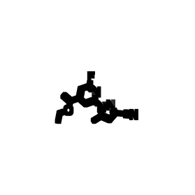 C=C(OCC)c1cc(F)nc(-n2nc(C#N)cc2C)c1